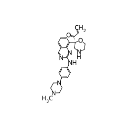 C=CC(=O)[C@@]1(c2cccc3cnc(Nc4ccc(N5CCN(C)CC5)cc4)nc23)CNCCO1